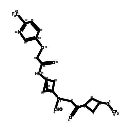 O=CN(CC(=O)C1CC(OC(F)(F)F)C1)C12CC(NC(=O)COc3ccc(C(F)(F)F)nc3)(C1)C2